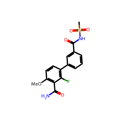 COc1ccc(-c2cccc(C(=O)NS(C)(=O)=O)c2)c(F)c1C(N)=O